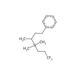 CC(CCc1ccccc1)[Si](C)(C)CCC(F)(F)F